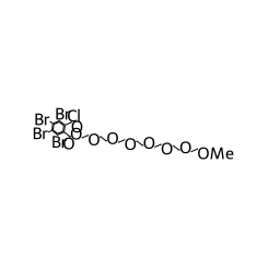 COCCOCCOCCOCCOCCOCCOCCOC(=O)c1c(Br)c(Br)c(Br)c(Br)c1C(=O)Cl